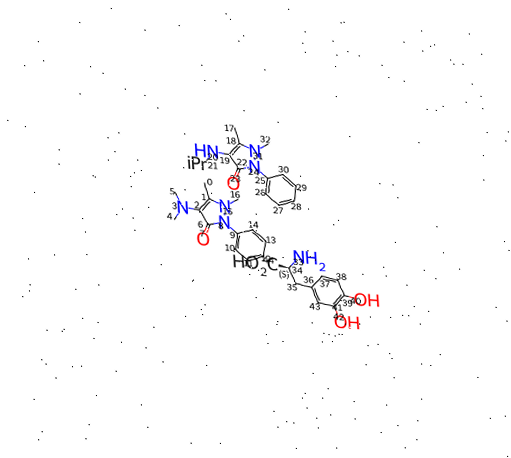 Cc1c(N(C)C)c(=O)n(-c2ccccc2)n1C.Cc1c(NC(C)C)c(=O)n(-c2ccccc2)n1C.N[C@@H](Cc1ccc(O)c(O)c1)C(=O)O